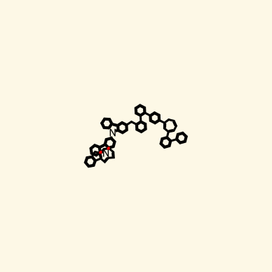 C1=CCC(c2ccc(-c3ccccc3-c3ccccc3Cc3ccc4c(c3)c3ccccc3n4-c3ccc4c(c3)c3ccccc3n4C3=C\C4=C(CC/C=C\3)Cc3ccccc34)cc2)=CC(c2ccccc2-c2ccccc2)=C1